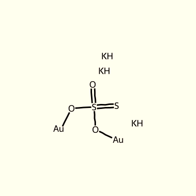 O=S(=S)([O][Au])[O][Au].[KH].[KH].[KH]